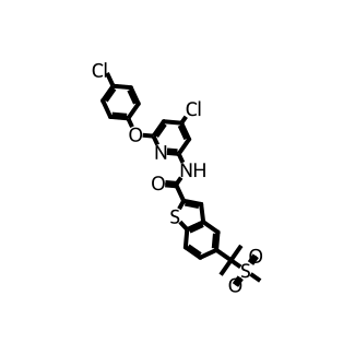 CC(C)(c1ccc2sc(C(=O)Nc3cc(Cl)cc(Oc4ccc(Cl)cc4)n3)cc2c1)S(C)(=O)=O